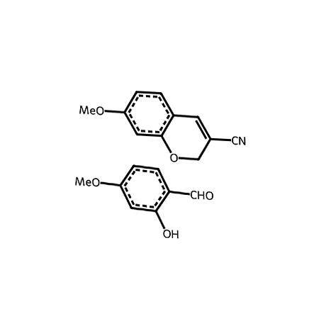 COc1ccc(C=O)c(O)c1.COc1ccc2c(c1)OCC(C#N)=C2